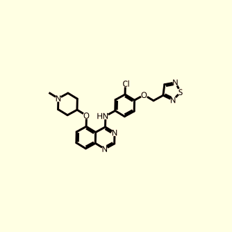 CN1CCC(Oc2cccc3ncnc(Nc4ccc(OCc5cnsn5)c(Cl)c4)c23)CC1